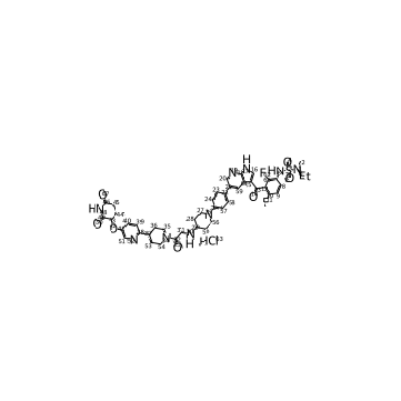 CCN(C)S(=O)(=O)Nc1ccc(F)c(C(=O)c2c[nH]c3ncc(-c4ccc(N5CCC(NCC(=O)N6CCC(c7ccc(OC8CCC(=O)NC8=O)cn7)CC6)CC5)cc4)cc23)c1F.Cl